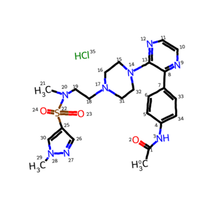 CC(=O)Nc1ccc(-c2nccnc2N2CCN(CCN(C)S(=O)(=O)c3cnn(C)c3)CC2)cc1.Cl